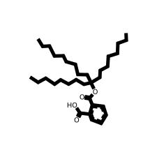 CCCCCCCCCC(CCCCCCCC)(CCCCCCCC)OC(=O)c1ccccc1C(=O)O